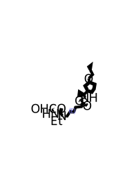 CCN(C/C=C/CCS(=O)(=O)NC1(c2cccc(OCC3CC3)c2)CC1)C(=O)NC=O